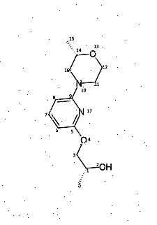 C[C@@H](O)COc1cccc(N2CCO[C@@H](C)C2)n1